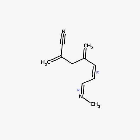 C=C(C#N)CC(=C)/C=C\C=N/C